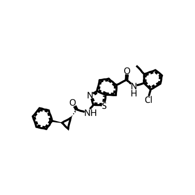 Cc1cccc(Cl)c1NC(=O)c1ccc2nc(NC(=O)[C@@H]3C[C@H]3c3ccccc3)sc2c1